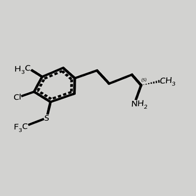 Cc1cc(CCC[C@H](C)N)cc(SC(F)(F)F)c1Cl